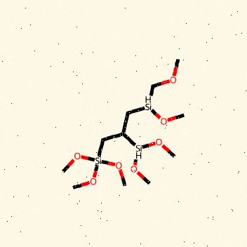 COC[SiH](CC(C[Si](OC)(OC)OC)[SiH](OC)OC)OC